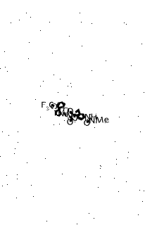 CNC(=O)Nc1ccc2c(c1)CC[C@@]21OC(=O)N(CC(=O)N2CCCC2c2ccccc2OC(F)(F)F)C1=O